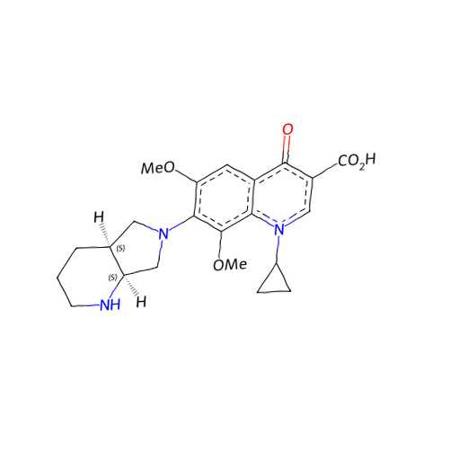 COc1cc2c(=O)c(C(=O)O)cn(C3CC3)c2c(OC)c1N1C[C@@H]2CCCN[C@@H]2C1